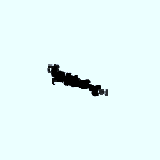 CCC(O)(C=Cc1ccc(C(CC)(CC)c2cc(C)c(-c3ccc(CC(=O)OC)c(F)c3)c(C)c2)cc1C)CC